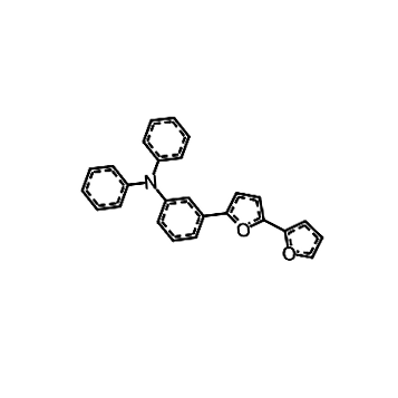 c1ccc(N(c2ccccc2)c2cccc(-c3ccc(-c4ccco4)o3)c2)cc1